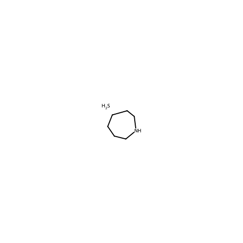 C1CCCNCC1.S